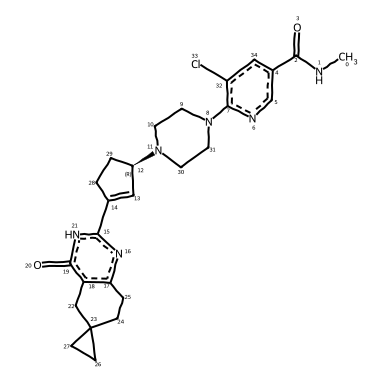 CNC(=O)c1cnc(N2CCN([C@H]3C=C(c4nc5c(c(=O)[nH]4)CC4(CC5)CC4)CC3)CC2)c(Cl)c1